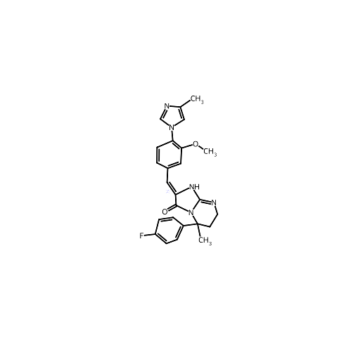 COc1cc(/C=c2\[nH]c3n(c2=O)C(C)(c2ccc(F)cc2)CCN=3)ccc1-n1cnc(C)c1